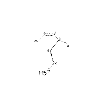 C/C=C\C(C)CCS